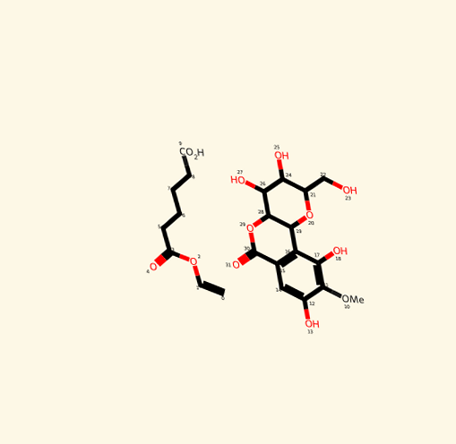 C=COC(=O)CCCCC(=O)O.COc1c(O)cc2c(c1O)C1OC(CO)C(O)C(O)C1OC2=O